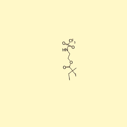 CC(I)(CI)C(=O)OCCNS(=O)(=O)C(F)(F)F